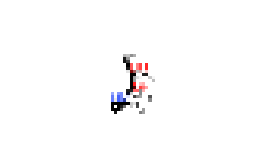 CC(C)CCCC(C)(O)CCCC(C)(O)CCNC(C)c1ccccc1